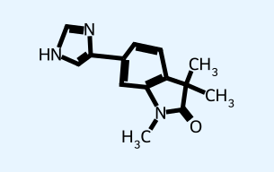 CN1C(=O)C(C)(C)c2ccc(-c3c[nH]cn3)cc21